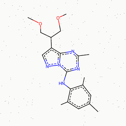 COCC(COC)c1cnn2c(Nc3c(C)cc(C)cc3C)nc(C)nc12